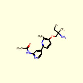 COC(=O)Nc1cc(-c2ccc(OCC(N)(CC(C)C)C(F)(F)F)c(C)n2)ccn1